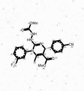 COC(=O)NNC1=N[C@H](c2ccc(C#N)cc2)C(C(=O)OC)=C(C)N1c1cccc(C(F)(F)F)c1